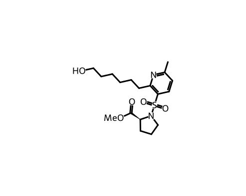 COC(=O)[C@@H]1CCCN1S(=O)(=O)c1ccc(C)nc1CCCCCCO